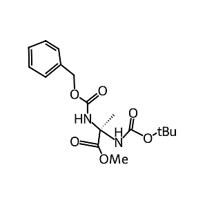 COC(=O)[C@@](C)(NC(=O)OCc1ccccc1)NC(=O)OC(C)(C)C